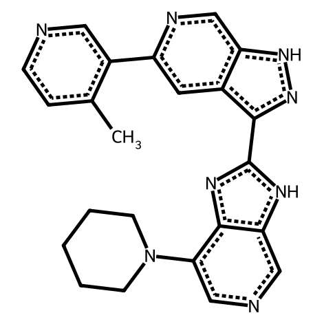 Cc1ccncc1-c1cc2c(-c3nc4c(N5CCCCC5)cncc4[nH]3)n[nH]c2cn1